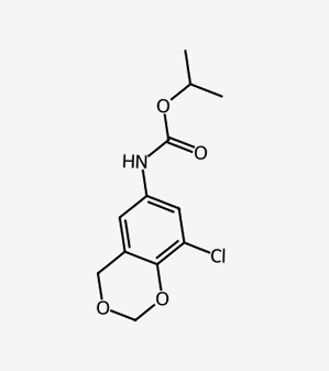 CC(C)OC(=O)Nc1cc(Cl)c2c(c1)COCO2